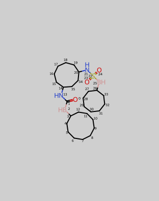 O=C(BC1CCCCCCCCC1)NC1CCCCCC(NS(=O)(=O)BC2CCCCCCC2)CC1